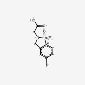 O=C(O)CN1Cc2cc(Br)ccc2S1(=O)=O